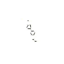 C=C(C)C(=O)Oc1ccc(-c2ccc(OC(C)=O)cc2)cc1